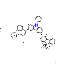 C[Si](C)(C)C1([Si](C)(C)C)c2ccccc2-c2cc(-c3ccc4c(c3)c3cc(-c5ccc6c7c(cccc57)-c5ccccc5-6)ccc3n4-c3ccccc3)ccc21